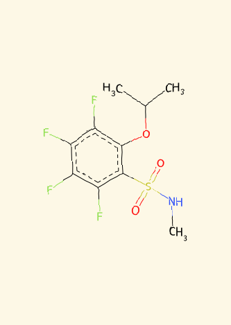 CNS(=O)(=O)c1c(F)c(F)c(F)c(F)c1OC(C)C